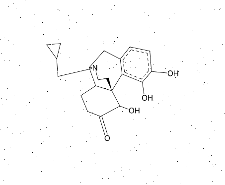 O=C1CCC2C3Cc4ccc(O)c(O)c4[C@]2(CCN3CC2CC2)C1O